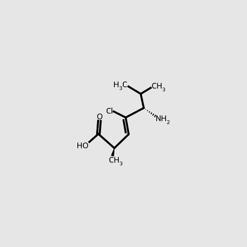 CC(C)[C@H](N)/C(Cl)=C/[C@@H](C)C(=O)O